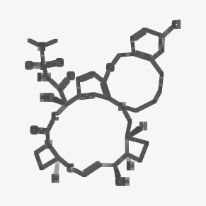 CN(C)S(=O)(=O)NC(=O)[C@@]1(O)CC(=O)N2CC[C@@H]2C/C=C/[C@H](O)[C@@H]2CC[C@H]2CN2CCCCc3cc(Cl)ccc3COc3ccc1cc32